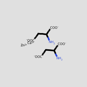 NC(CC(=O)[O-])C(=O)[O-].NC(CC(=O)[O-])C(=O)[O-].[Ca+2].[Zn+2]